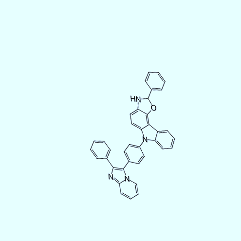 c1ccc(-c2nc3ccccn3c2-c2ccc(-n3c4ccccc4c4c5c(ccc43)NC(c3ccccc3)O5)cc2)cc1